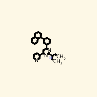 C=C/C(=C\C)c1nc(-c2cccnc2)cc(-c2cccc(-c3cccc4ccccc34)c2)n1